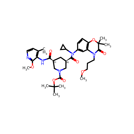 COCCCN1C(=O)C(C)(C)Oc2ccc(N(C(=O)[C@@H]3C[C@H](C(=O)Nc4c(C)ccnc4OC)CN(C(=O)OC(C)(C)C)C3)C3CC3)cc21